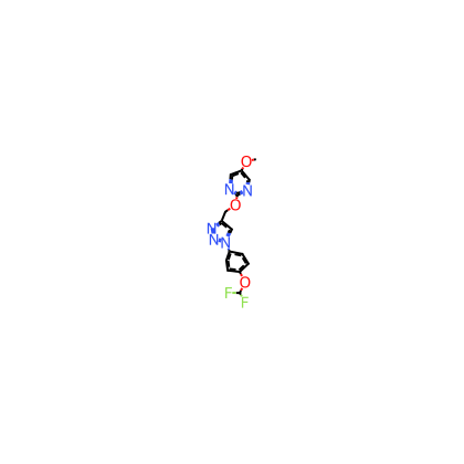 COc1cnc(OCc2cn(-c3ccc(OC(F)F)cc3)nn2)nc1